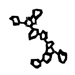 c1ccc(-c2ccc3c(c2)c2cc(-c4cccc(-c5cccc(-c6nc(-c7ccccc7)nc7c6sc6ccccc67)c5)c4)ccc2n3-c2ccccc2)cc1